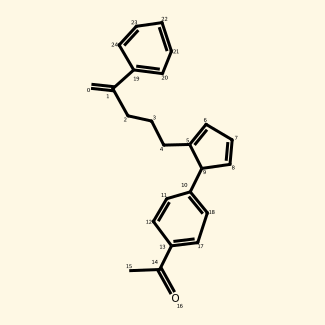 C=C(CCCC1=CC=CC1c1ccc(C(C)=O)cc1)c1ccccc1